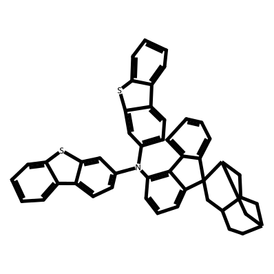 c1ccc2c(c1)-c1c(N(c3ccc4c(c3)sc3ccccc34)c3ccc4c(c3)sc3ccccc34)cccc1C21CC2CCC3CC2CC1C3